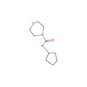 O=C([N]C1CCCC1)N1CCOCC1